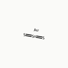 [Au].[S]=[Sn]=[S]